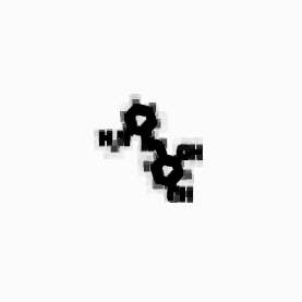 Nc1ccccc1N=Cc1ccc(O)cc1O